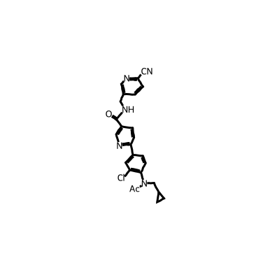 CC(=O)N(CC1CC1)c1ccc(-c2ccc(C(=O)NCc3ccc(C#N)nc3)cn2)cc1Cl